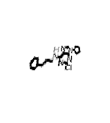 Clc1nc(NCCCc2ccccc2)c2ncn(C3CCCC3)c2n1